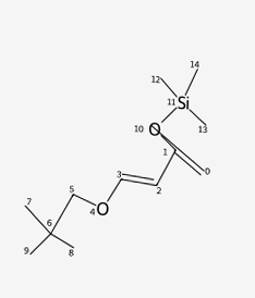 C=C(/C=C/OCC(C)(C)C)O[Si](C)(C)C